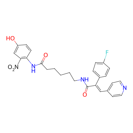 O=C(CCCCCNC(=O)C(=Cc1ccncc1)c1ccc(F)cc1)Nc1ccc(O)cc1[N+](=O)[O-]